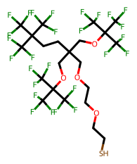 FC(F)(F)C(CCC(COCCOCCS)(COC(C(F)(F)F)(C(F)(F)F)C(F)(F)F)COC(C(F)(F)F)(C(F)(F)F)C(F)(F)F)(C(F)(F)F)C(F)(F)F